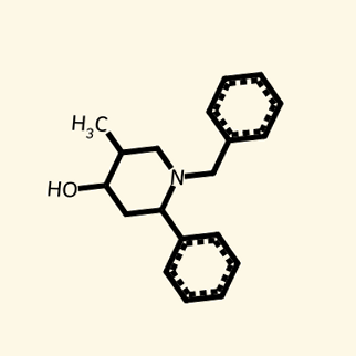 CC1CN(Cc2ccccc2)C(c2ccccc2)CC1O